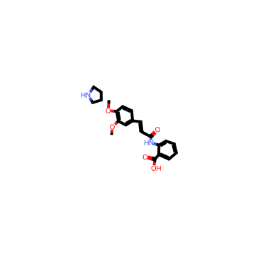 C1CCNC1.COc1ccc(/C=C/C(=O)Nc2ccccc2C(=O)O)cc1OC